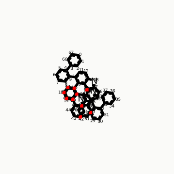 c1ccc(-c2ccccc2-c2ccc3c(c2-c2ccccc2-c2nnnc(-c4ccccc4-c4ccccc4)c2-c2ccccc2-c2ccccc2)-c2c4c(ccc2=N3)=c2ccccc2=N4)cc1